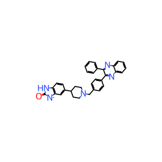 O=C1[N]c2cc(C3CCN(Cc4ccc(-c5nc6ccccc6nc5-c5ccccc5)cc4)CC3)ccc2N1